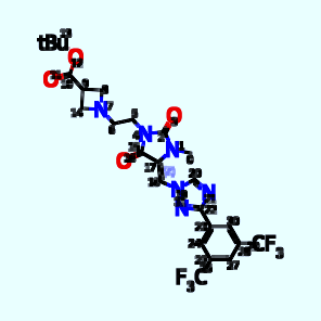 CN1C(=O)N(CCN2CC(C(=O)OC(C)(C)C)C2)C(=O)/C1=C/n1cnc(-c2cc(C(F)(F)F)cc(C(F)(F)F)c2)n1